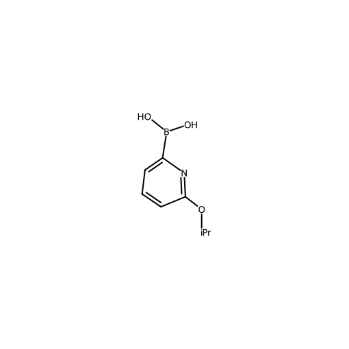 CC(C)Oc1cccc(B(O)O)n1